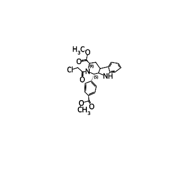 COC(=O)c1ccc([C@H]2C3Nc4ccccc4C3C[C@H](C(=O)OC)N2C(=O)CCl)cc1